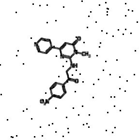 Cn1c(NCC(=O)c2ccc([N+](=O)[O-])cc2)nc(-c2ccncc2)cc1=O